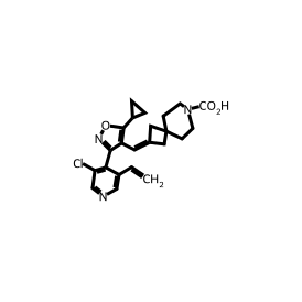 C=Cc1cncc(Cl)c1-c1noc(C2CC2)c1C=C1CC2(CCN(C(=O)O)CC2)C1